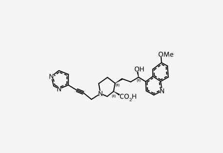 COc1ccc2nccc([C@H](O)CC[C@@H]3CCN(CC#Cc4ccncn4)C[C@@H]3C(=O)O)c2c1